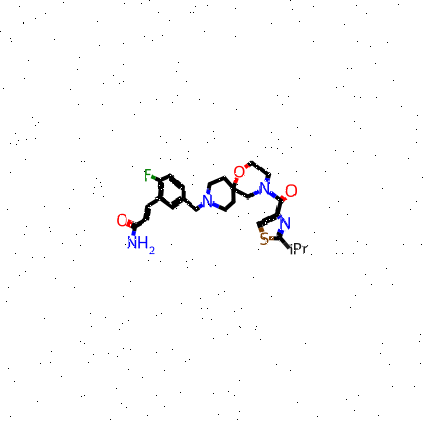 CC(C)c1nc(C(=O)N2CCOC3(CCN(Cc4ccc(F)c(/C=C/C(N)=O)c4)CC3)C2)cs1